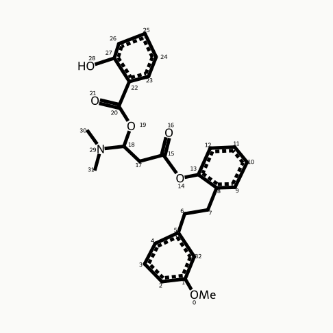 COc1cccc(CCc2ccccc2OC(=O)CC(OC(=O)c2ccccc2O)N(C)C)c1